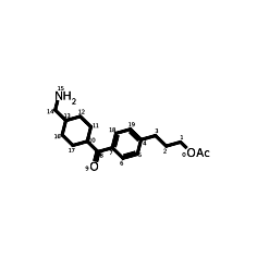 CC(=O)OCCCc1ccc(C(=O)C2CCC(CN)CC2)cc1